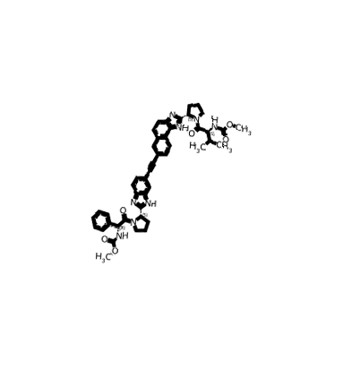 COC(=O)N[C@H](C(=O)N1CCC[C@H]1c1nc2ccc3cc(C#Cc4ccc5nc([C@@H]6CCCN6C(=O)[C@H](NC(=O)OC)c6ccccc6)[nH]c5c4)ccc3c2[nH]1)C(C)C